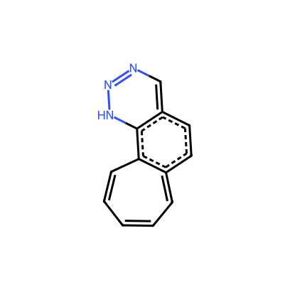 C1=CC=c2ccc3c(c2C=C1)NN=NC=3